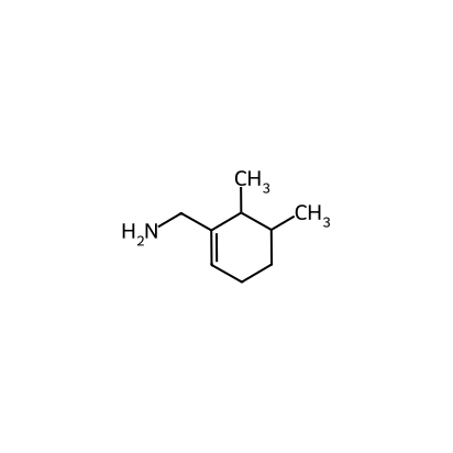 CC1CCC=C(CN)C1C